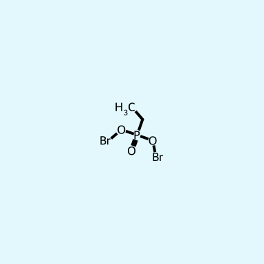 CCP(=O)(OBr)OBr